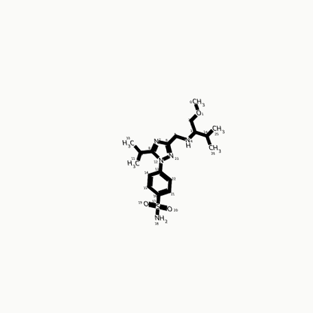 COCC(NCc1nc(C(C)C)n(-c2ccc(S(N)(=O)=O)cc2)n1)C(C)C